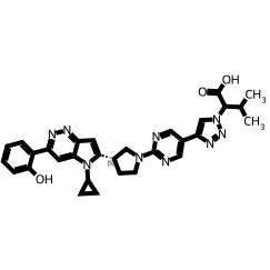 CC(C)C(C(=O)O)n1cc(-c2cnc(N3CC[C@H](c4cc5nnc(-c6ccccc6O)cc5n4C4CC4)C3)nc2)nn1